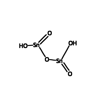 [O]=[Sn]([OH])[O][Sn](=[O])[OH]